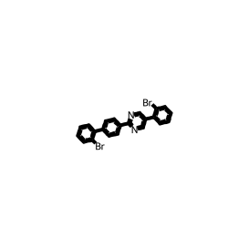 Brc1ccccc1-c1ccc(-c2ncc(-c3ccccc3Br)cn2)cc1